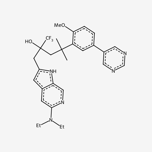 CCN(CC)c1cc2cc(CC(O)(CC(C)(C)c3cc(-c4cncnc4)ccc3OC)C(F)(F)F)[nH]c2cn1